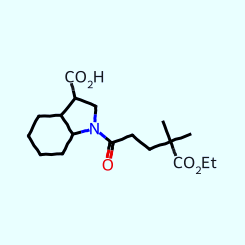 CCOC(=O)C(C)(C)CCC(=O)N1CC(C(=O)O)C2CCCCC21